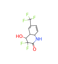 O=C1NC2C=CC(C(F)(F)F)=CC2C(O)C1(F)F